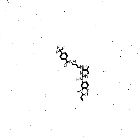 C=CC(=O)N(C)c1cc(Nc2ncc(C)c(NCCCNC(=O)c3ccc(C(F)(F)F)cc3)n2)ccc1F